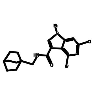 CCn1cc(C(=O)NCC23CCC(CC2)CC3)c2c(Br)cc(Cl)cc21